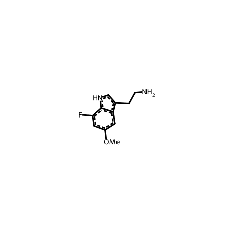 COc1cc(F)c2[nH]cc(CCN)c2c1